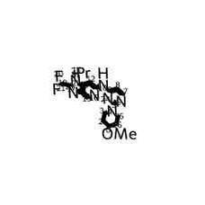 COC1CCN(c2nccc(Nc3cc4c(cn3)nc(C(F)F)n4C(C)C)n2)CC1